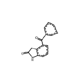 O=C1Cc2c(cccc2C(=O)c2ccccc2)N1